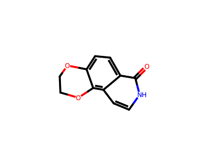 O=c1[nH]ccc2c3c(ccc12)OCCO3